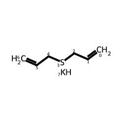 C=CCSCC=C.[KH]